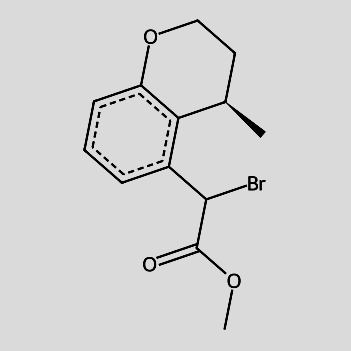 COC(=O)C(Br)c1cccc2c1[C@H](C)CCO2